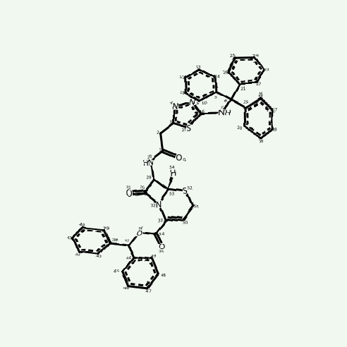 O=C(Cc1nnc(NC(c2ccccc2)(c2ccccc2)c2ccccc2)s1)NC1C(=O)N2C(C(=O)OC(c3ccccc3)c3ccccc3)=CCS[C@@H]12